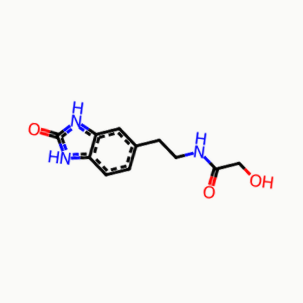 O=C(CO)NCCc1ccc2[nH]c(=O)[nH]c2c1